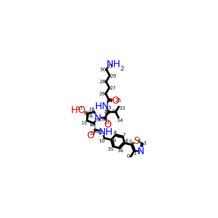 Cc1ncsc1-c1ccc(CNC(=O)[C@@H]2C[C@@H](O)CN2C(=O)[C@@H](NC(=O)CCCCCN)C(C)C)cc1